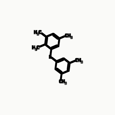 Cc1cc(C)cc(Sc2cc(C)cc(C)c2C)c1